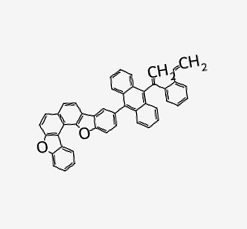 C=Cc1ccccc1C(=C)c1c2ccccc2c(-c2ccc3oc4c(ccc5ccc6oc7ccccc7c6c54)c3c2)c2ccccc12